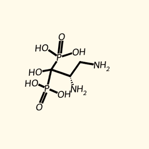 NC[C@H](N)C(O)(P(=O)(O)O)P(=O)(O)O